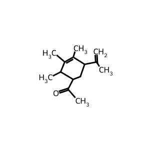 C=C(C)C1CC(C(C)=O)C(C)C(C)=C1C